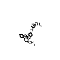 C[C@@H]1CCC(c2ccccc2)S(=O)(=O)N1Cc1ccc(OCc2cnn(C)c2)cc1